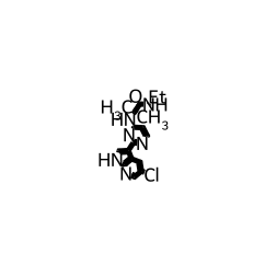 CCNC(=O)C(C)(C)Nc1ccnc(-c2c[nH]c3ncc(Cl)cc23)n1